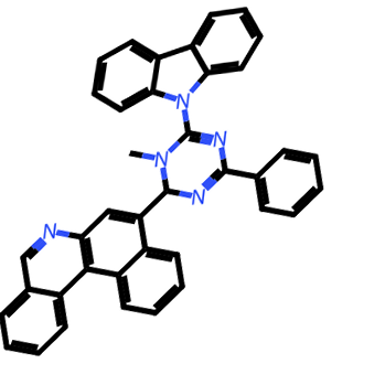 CN1C(n2c3ccccc3c3ccccc32)=NC(c2ccccc2)=NC1c1cc2ncc3ccccc3c2c2ccccc12